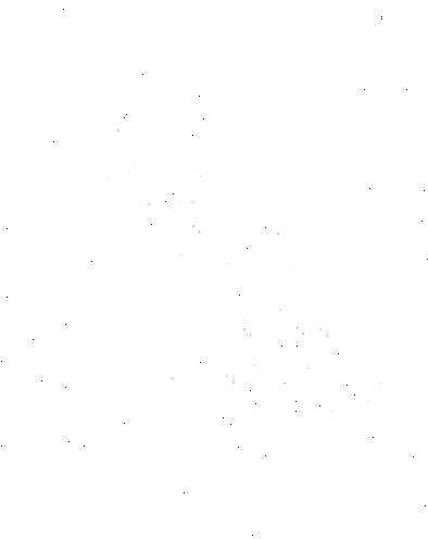 CC1COCCN1c1cc(C2(S(C)(=N)=O)CC2)nc(-c2cncc3c2ccn3C(=O)OC(C)(C)C)n1